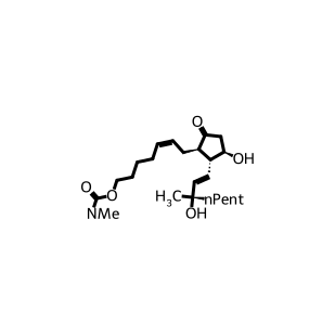 CCCCC[C@](C)(O)/C=C/[C@H]1[C@H](O)CC(=O)[C@@H]1C/C=C\CCCCOC(=O)NC